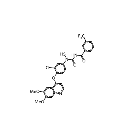 COc1cc2nccc(Oc3ccc(N(S)C(=O)NC(=O)c4cccc(C(F)(F)F)c4)cc3Cl)c2cc1OC